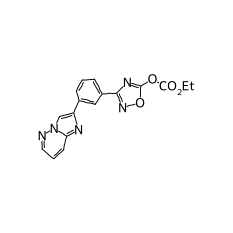 CCOC(=O)Oc1nc(-c2cccc(-c3cn4ncccc4n3)c2)no1